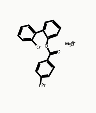 CCCc1ccc(C(=O)Oc2ccccc2-c2ccccc2[O-])cc1.[Cl-].[Mg+2]